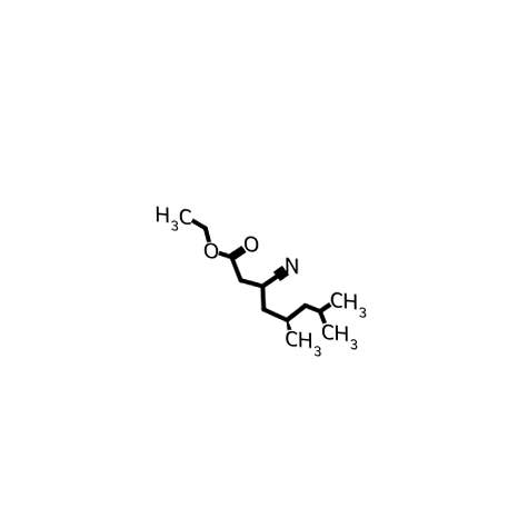 CCOC(=O)CC(C#N)C[C@H](C)CC(C)C